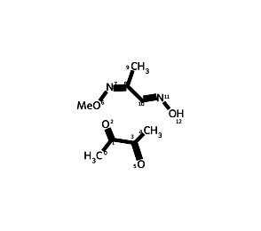 CC(=O)C(C)=O.CON=C(C)C=NO